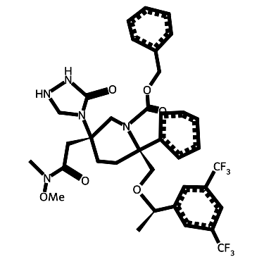 CON(C)C(=O)C[C@]1(N2CNNC2=O)CC[C@@](CO[C@H](C)c2cc(C(F)(F)F)cc(C(F)(F)F)c2)(c2ccccc2)N(C(=O)OCc2ccccc2)C1